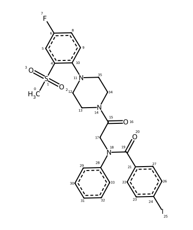 CS(=O)(=O)c1cc(F)ccc1N1CCN(C(=O)CN(C(=O)c2ccc(I)cc2)c2ccccc2)CC1